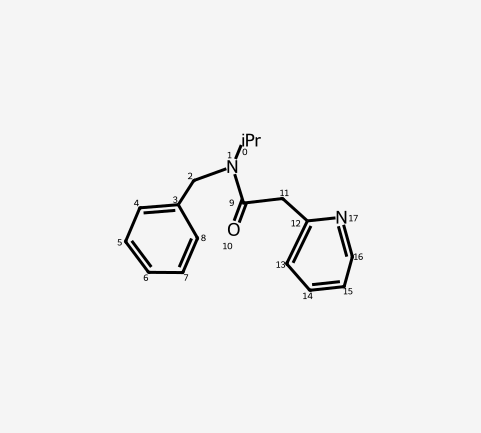 CC(C)N(Cc1ccccc1)C(=O)Cc1ccccn1